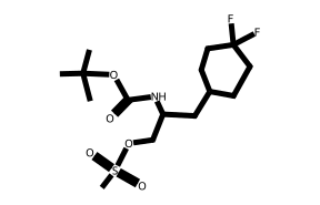 CC(C)(C)OC(=O)NC(COS(C)(=O)=O)CC1CCC(F)(F)CC1